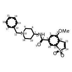 COc1cc(C(=O)NC2CCN(Cc3ccccc3)CC2)cc2c1C=CS2(=O)=O